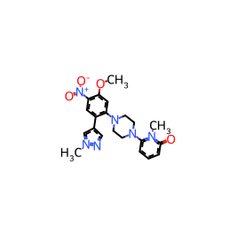 COc1cc(N2CCN(c3cccc(=O)n3C)CC2)c(-c2cnn(C)c2)cc1[N+](=O)[O-]